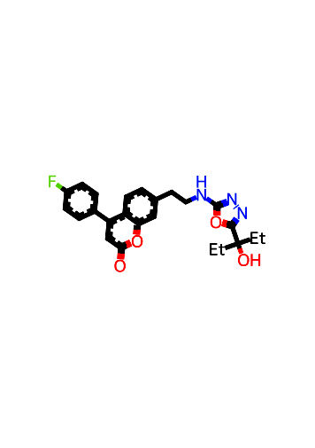 CCC(O)(CC)c1nnc(NCCc2ccc3c(-c4ccc(F)cc4)cc(=O)oc3c2)o1